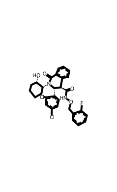 O=C(NOCc1ccccc1F)[C@@H]1c2ccccc2C(=O)N([C@@H]2CCCC[C@@H]2O)[C@H]1c1ccc(Cl)cc1Cl